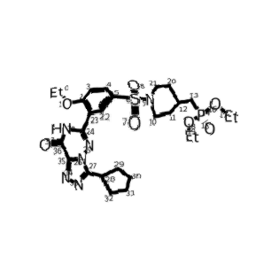 CCOc1ccc(S(=O)(=O)N2CCC(CP(=O)(OCC)OCC)CC2)cc1-c1nn2c(C3CCCC3)nnc2c(=O)[nH]1